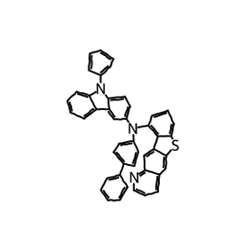 c1ccc(-c2ccc(N(c3ccc4c(c3)c3ccccc3n4-c3ccccc3)c3cccc4sc5cc6cccnc6cc5c34)cc2)cc1